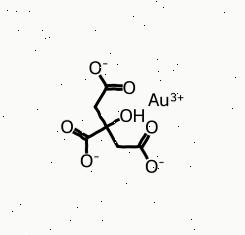 O=C([O-])CC(O)(CC(=O)[O-])C(=O)[O-].[Au+3]